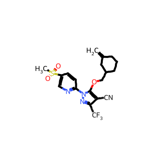 C=C1CCCC(COc2c(C#N)c(C(F)(F)F)nn2-c2ccc(S(C)(=O)=O)cn2)C1